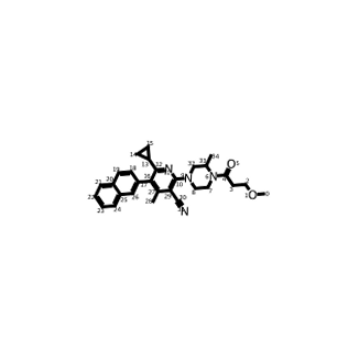 COCCC(=O)N1CCN(c2nc(C3CC3)c(-c3ccc4ccccc4c3)c(C)c2C#N)CC1C